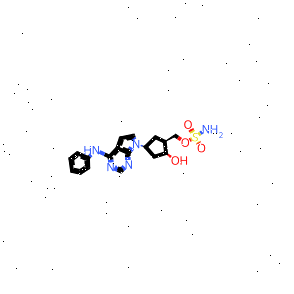 NS(=O)(=O)OC[C@@H]1C[C@@H](n2ccc3c(Nc4ccccc4)ncnc32)C[C@@H]1O